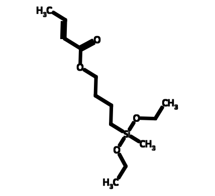 CC=CC(=O)OCCCC[Si](C)(OCC)OCC